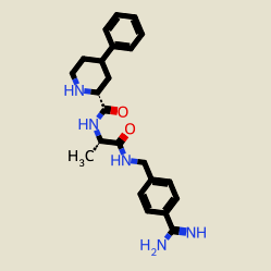 C[C@H](NC(=O)[C@H]1CC(c2ccccc2)CCN1)C(=O)NCc1ccc(C(=N)N)cc1